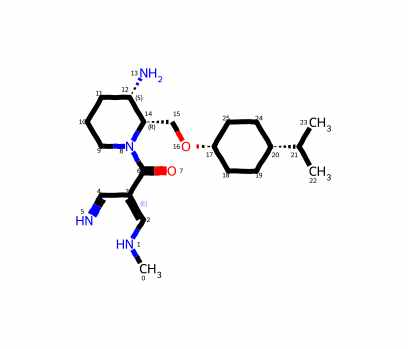 CN/C=C(\C=N)C(=O)N1CCC[C@H](N)[C@@H]1CO[C@H]1CC[C@@H](C(C)C)CC1